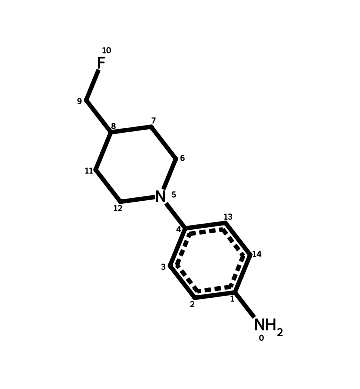 Nc1ccc(N2CCC(CF)CC2)cc1